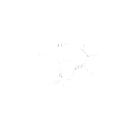 CCOC(=O)Cc1c(C)[nH]c(=O)c(C(C)=O)c1OS(=O)(=O)C(F)(F)F